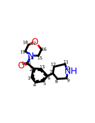 O=C(c1cccc(C2CCNCC2)c1)N1CCOCC1